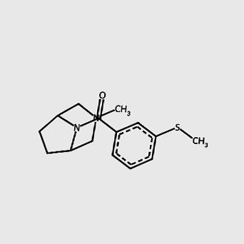 CSc1cccc(C(=O)N2C3CCC2CN(C)C3)c1